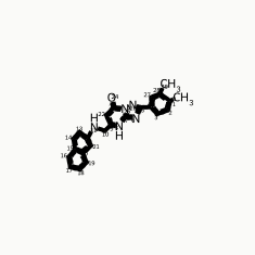 Cc1ccc(-c2nc3[nH]c(CNc4ccc5ccccc5c4)cc(=O)n3n2)cc1C